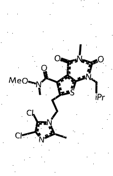 CON(C)C(=O)c1c(CCn2c(C)nc(Cl)c2Cl)sc2c1c(=O)n(C)c(=O)n2CC(C)C